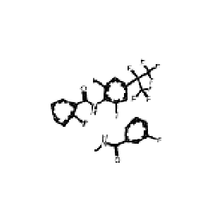 CNC(=O)c1cccc(F)c1.O=C(Nc1c(I)cc(C(F)(C(F)(F)F)C(F)(F)F)cc1I)c1ccccc1F